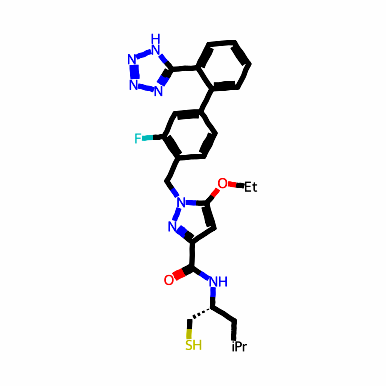 CCOc1cc(C(=O)N[C@@H](CS)CC(C)C)nn1Cc1ccc(-c2ccccc2-c2nnn[nH]2)cc1F